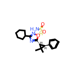 CC1(C)[C@H](c2ccccc2)[C@H]1c1nc(C2CCCCC2)no1.N[SH](=O)=O